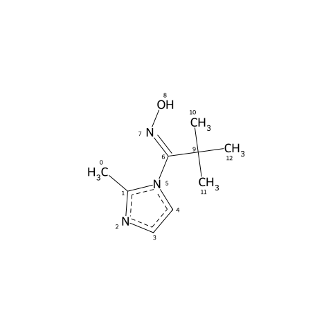 Cc1nccn1C(=NO)C(C)(C)C